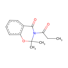 CCC(=O)N1C(=O)c2ccccc2OC1(C)C